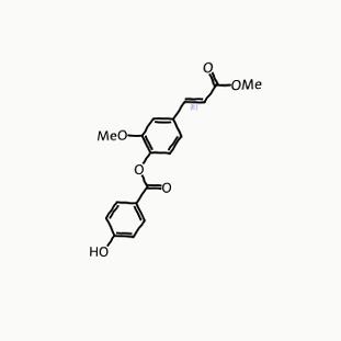 COC(=O)/C=C/c1ccc(OC(=O)c2ccc(O)cc2)c(OC)c1